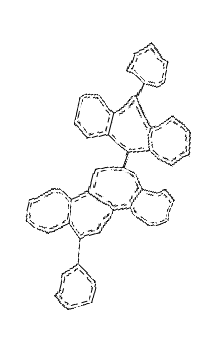 c1ccc(-c2c3ccccc3c(-c3cc4c5ccccc5c(-c5ccccc5)cc4c4ccccc34)c3ccccc23)cc1